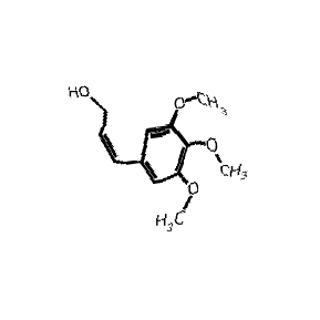 COc1cc(/C=C\CO)cc(OC)c1OC